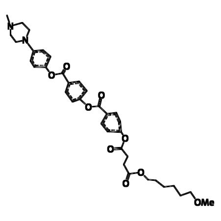 COCCCCCCOC(=O)CCC(=O)Oc1ccc(C(=O)Oc2ccc(C(=O)Oc3ccc(N4CCN(C)CC4)cc3)cc2)cc1